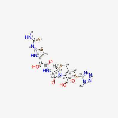 CNC(=S)N=c1[nH]c(C(O)C(=O)NC2C(=O)N3C(C(=O)O)=C(CSc4nnnn4C)CS[C@@H]23)cs1